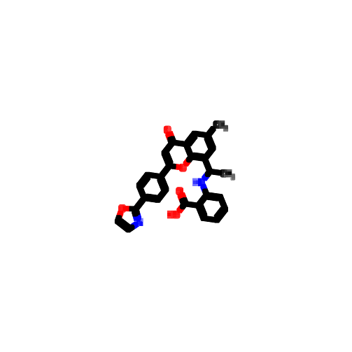 Cc1cc(C(C)Nc2ccccc2C(=O)O)c2oc(-c3ccc(-c4ncco4)cc3)cc(=O)c2c1